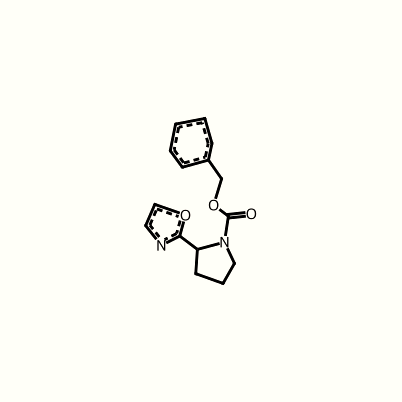 O=C(OCc1ccccc1)N1CCCC1c1ncco1